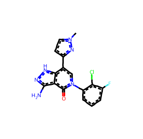 Cn1ccc(-c2cn(-c3cccc(F)c3Cl)c(=O)c3c(N)n[nH]c23)n1